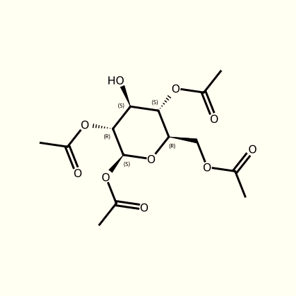 CC(=O)OC[C@H]1O[C@@H](OC(C)=O)[C@H](OC(C)=O)[C@@H](O)[C@@H]1OC(C)=O